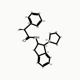 C[C@H](C(=O)NC1Cc2ccccc2C1N1CCCC1)c1ccccc1